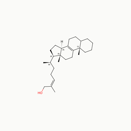 CC(=CCC[C@@H](C)[C@H]1CC[C@H]2C3=C(CC[C@]12C)[C@@]1(C)CCCCC1CC3)CO